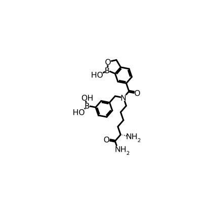 NC(=O)[C@@H](N)CCCCN(Cc1cccc(B(O)O)c1)C(=O)c1ccc2c(c1)B(O)OC2